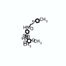 COc1ccc(OC)c(NS(=O)(=O)c2ccc(NC(=O)CCSc3ccc(C)cc3)cc2)c1